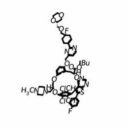 Cc1c(Cl)c2c(Cl)c(C)c1-c1c(-c3ccc(F)cc3)sc3ncnc(c13)O[C@@H](C(=O)OC(C)(C)C)Cc1cc(ccc1OCc1ccnc(C3=CC[C@](F)(COC[C@H]4COCCO4)CC3)n1)OC[C@@H](CN1CCN(C)CC1)O2